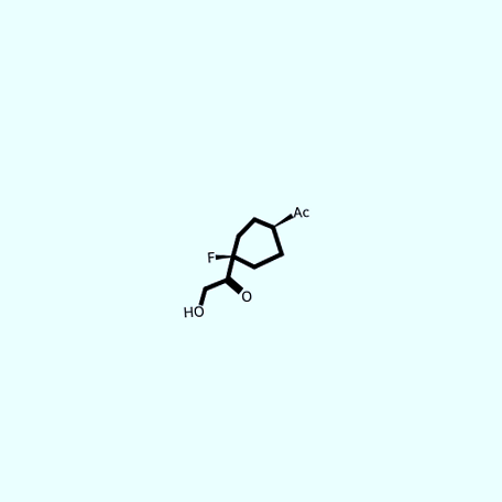 CC(=O)[C@H]1CC[C@](F)(C(=O)CO)CC1